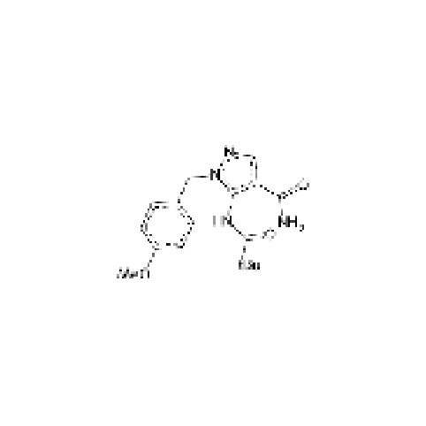 COc1ccc(Cn2ncc(C(N)=O)c2NC(=O)C(C)(C)C)cc1